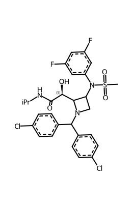 CC(C)NC(=O)[C@@H](O)C1C(N(c2cc(F)cc(F)c2)S(C)(=O)=O)CN1C(c1ccc(Cl)cc1)c1ccc(Cl)cc1